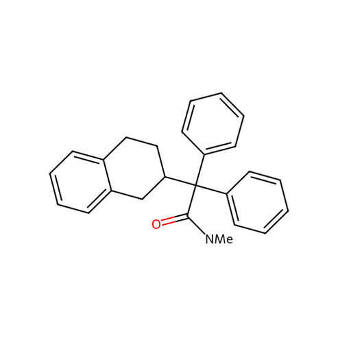 CNC(=O)C(c1ccccc1)(c1ccccc1)C1CCc2ccccc2C1